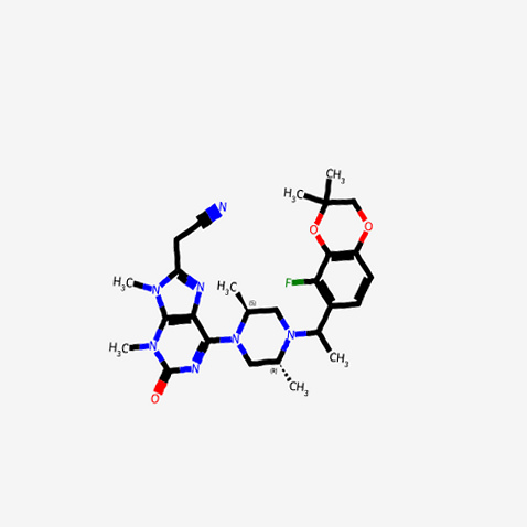 CC(c1ccc2c(c1F)OC(C)(C)CO2)N1C[C@H](C)N(c2nc(=O)n(C)c3c2nc(CC#N)n3C)C[C@H]1C